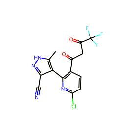 Cc1[nH]nc(C#N)c1-c1nc(Cl)ccc1C(=O)CC(=O)C(F)(F)F